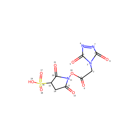 O=C(CN1C(=O)N=NC1=O)ON1C(=O)CC(S(=O)(=O)O)C1=O